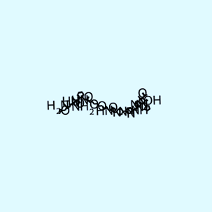 CC(=O)C1=C(C)c2cnc(Nc3ccc(N4CCN(CC(=O)NCCOCCOCCC(=O)Nc5ccccc5C(=O)N/C(N)=C/C=C(\N)OC5CC5)CC4)cn3)nc2N(C2CCCC2)C1O